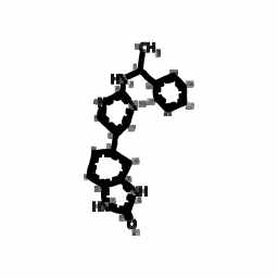 CC(Nc1ncc(-c2ccc3[nH]c(=O)[nH]c3c2)cn1)c1ccccc1